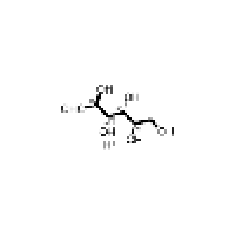 O=C[C@@H](O)[C@@H](O)[C@H](O)[C@H](O)CO.[H+]